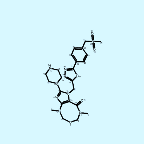 CN1COCN(C)c2nc(N3CCNCC3)n(Cc3nnc(-c4ccc(CS(C)(=O)=O)cc4)o3)c2C1=O